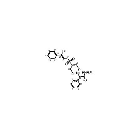 O=C(NO)C(c1ccccc1)N1CCN(S(=O)(=O)CC=C(F)c2ccccc2)CC1